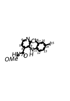 CONC(=O)c1ccncc1Nc1ccc(I)cc1Cl